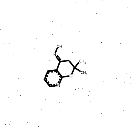 CC1(C)CC(=NO)c2cccnc2O1